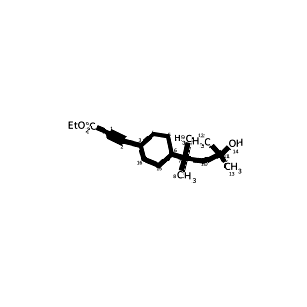 CCOC(=O)C#CC1CCC(C(C)(C)CC(C)(C)O)CC1